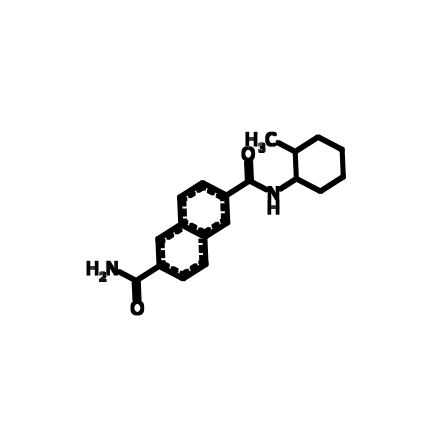 CC1CCCCC1NC(=O)c1ccc2cc(C(N)=O)ccc2c1